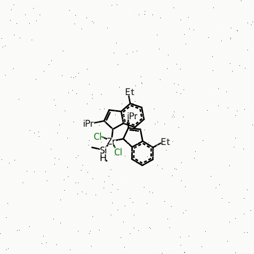 CCc1cccc2c1C=C(C(C)C)[CH]2[Zr]([Cl])([Cl])([CH]1C(C(C)C)=Cc2c(CC)cccc21)[SiH](C)C